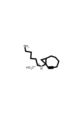 NCCCC[C@H](NC12C#CCCCCC1C2)C(=O)O